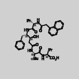 CC[C@H](C)[C@H](NC(=O)C[C@H](O)[C@H](Cc1ccccc1)NC(=O)[C@@H](NC(=O)Cc1cccc2ccccc12)C(C)C)C(=O)N[C@H](C(=O)O)C(C)C